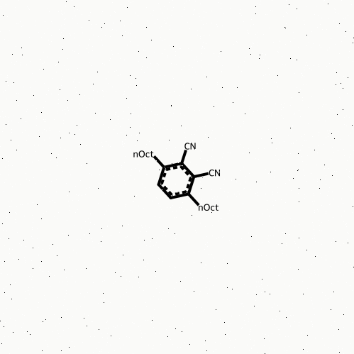 CCCCCCCCc1ccc(CCCCCCCC)c(C#N)c1C#N